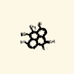 Cc1c(S)c2c(S)ccc3c(=N)c(=N)c4ccc(S)c1c4c23